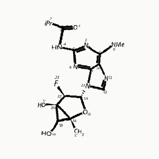 CNc1nc(NC(=O)C(C)C)nc2c1ncn2[C@@H]1O[C@]2(C)C(O)[C@]2(O)[C@H]1F